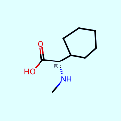 CN[C@H](C(=O)O)C1CCCCC1